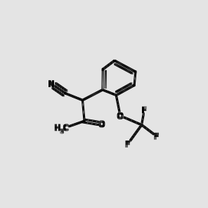 CC(=O)C(C#N)c1ccccc1OC(F)(F)F